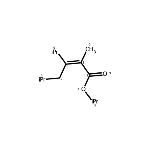 CC(C(=O)OC(C)C)=C(CC(C)C)C(C)C